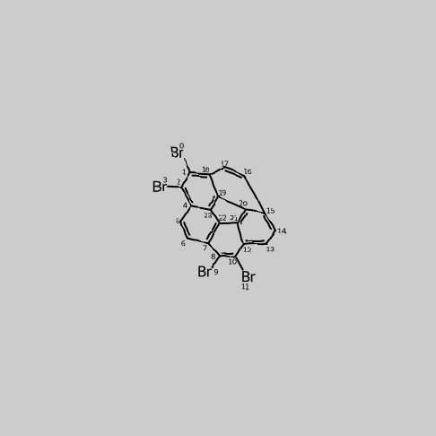 Brc1c(Br)c2ccc3c(Br)c(Br)c4ccc5ccc1c1c5c4c3c21